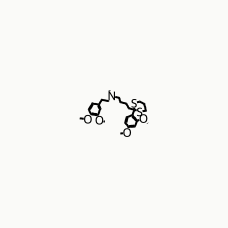 COc1ccc(C2(CCCCN(C)CCc3ccc(OC)c(OC)c3)SCCCS2)c(OC)c1